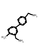 Cc1ccc(-c2ccc(CN)cc2)cc1CN